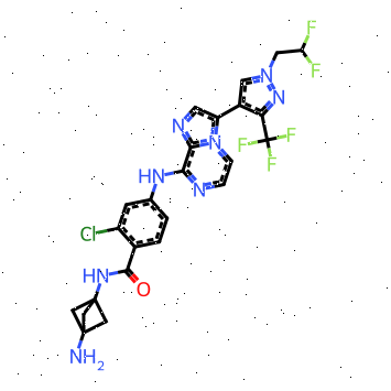 NC12CC(NC(=O)c3ccc(Nc4nccn5c(-c6cn(CC(F)F)nc6C(F)(F)F)cnc45)cc3Cl)(C1)C2